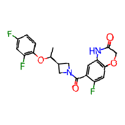 CC(Oc1ccc(F)cc1F)C1CN(C(=O)c2cc3c(cc2F)OCC(=O)N3)C1